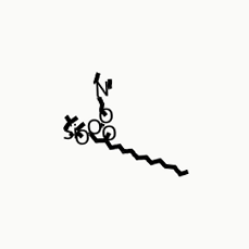 CCCCCCCCCCCCC(CCO[Si](C)(C)C(C)(C)C)OC(=O)OCCCN(CC)CC